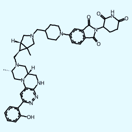 C[C@H]1CN2c3cc(-c4ccccc4O)nnc3NC[C@H]2CN1C[C@H]1[C@@H]2CN(CC3CCN(c4ccc5c(c4)C(=O)N(C4CCC(=O)NC4=O)C5=O)CC3)CC21C